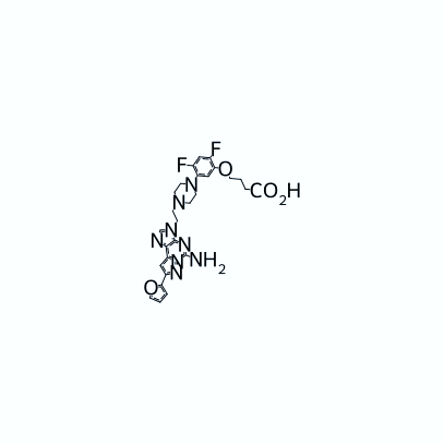 Nc1nc2c(ncn2CCN2CCN(c3cc(OCCCC(=O)O)c(F)cc3F)CC2)c2cc(-c3ccco3)nn12